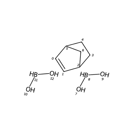 C1=CC2CCC1C2.OBO.OBO